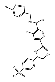 CCS(=O)(=O)c1ccc([C@H](CO)NC(=O)c2cnc(C(NCc3ccc(Cl)cc3)C(C)C)c(F)c2)cc1